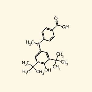 CN(c1ccc(C(=O)O)cc1)c1cc(C(C)(C)C)c(O)c(C(C)(C)C)c1